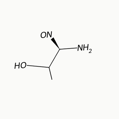 CC(O)[C@H](N)N=O